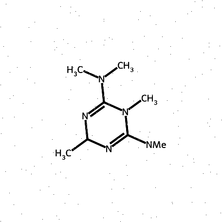 CNC1=NC(C)N=C(N(C)C)N1C